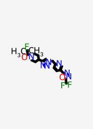 CC(C)(F)C(=O)N1CCC(c2cn(Cc3ccc(-c4nnc(C(F)F)o4)cn3)nn2)CC1